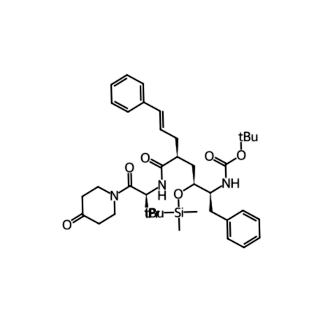 CC(C)[C@H](NC(=O)[C@@H](CC=Cc1ccccc1)C[C@H](O[Si](C)(C)C(C)(C)C)[C@H](Cc1ccccc1)NC(=O)OC(C)(C)C)C(=O)N1CCC(=O)CC1